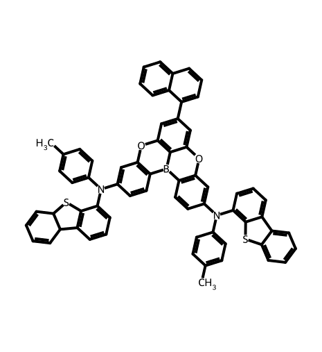 Cc1ccc(N(c2ccc3c(c2)Oc2cc(-c4cccc5ccccc45)cc4c2B3c2ccc(N(c3ccc(C)cc3)c3cccc5c3sc3ccccc35)cc2O4)c2cccc3c2SC2C=CC=CC32)cc1